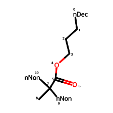 CCCCCCCCCCCCCOC(=O)C(C)(CCCCCCCCC)CCCCCCCCC